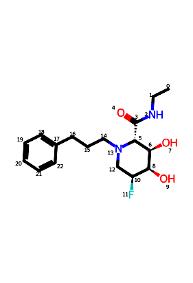 CCNC(=O)[C@@H]1[C@@H](O)[C@@H](O)[C@@H](F)CN1CCCc1ccccc1